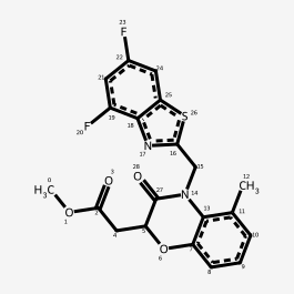 COC(=O)CC1Oc2cccc(C)c2N(Cc2nc3c(F)cc(F)cc3s2)C1=O